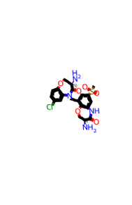 CS(=O)(=O)c1cc(CN2C(=O)[C@@H](N)COc3ccc(Cl)cc32)c2c(c1)NC(=O)[C@@H](N)CO2